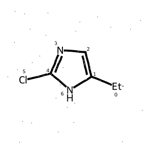 C[CH]c1cnc(Cl)[nH]1